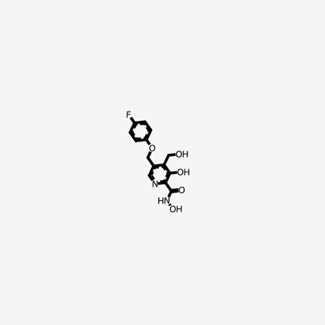 O=C(NO)c1ncc(COc2ccc(F)cc2)c(CO)c1O